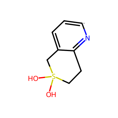 OS1(O)CCc2n[c]ccc2C1